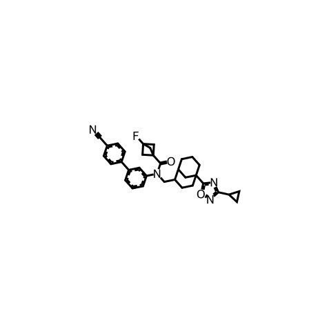 N#Cc1ccc(-c2cccc(N(CC3CCC4(c5nc(C6CC6)no5)CCCC3C4)C(=O)C34CC(F)(C3)C4)c2)cc1